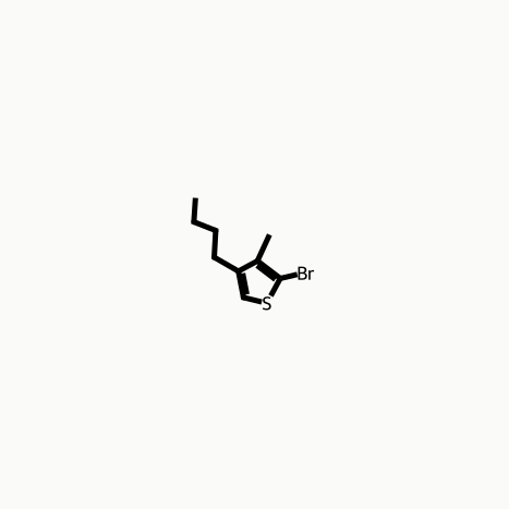 CCCCc1csc(Br)c1C